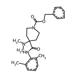 Cc1cccc(C)c1NC(=O)C1(N(C)C)CCN(C(=O)OCc2ccccc2)CC1